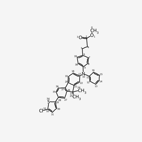 COC(=O)CCc1ccc(N(c2ccccc2)c2ccc3c(c2)C(C)(C)c2cc(-c4ccc(Cl)s4)ccc2-3)cc1